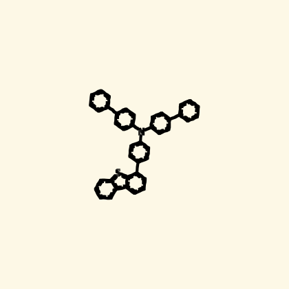 c1ccc(-c2ccc(N(c3ccc(-c4ccccc4)cc3)c3ccc(-c4cccc5c4sc4ccccc45)cc3)cc2)cc1